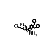 CCOCn1c(CCCCCCl)nc2c(N)nc3c(Cc4ccccc4)c(Cc4ccccc4)ccc3c21